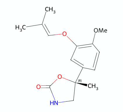 COc1ccc([C@]2(C)CNC(=O)O2)cc1OC=C(C)C